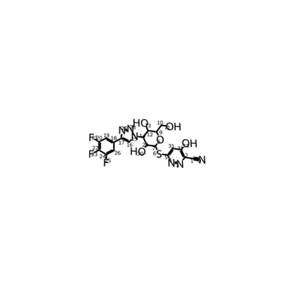 N#Cc1nnc(SC2OC(CO)C(O)C(n3cc(-c4cc(F)c(F)c(F)c4)nn3)C2O)cc1O